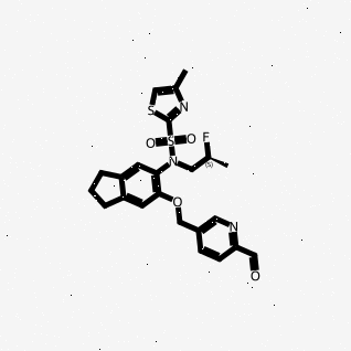 Cc1csc(S(=O)(=O)N(C[C@H](C)F)c2cc3c(cc2OCc2ccc(C=O)nc2)CCC3)n1